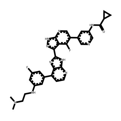 CN(C)CCNc1cc(F)cc(-c2ccnc3[nH]c(-c4n[nH]c5ncc(-c6cncc(NC(=O)C7CC7)c6)c(F)c45)nc23)c1